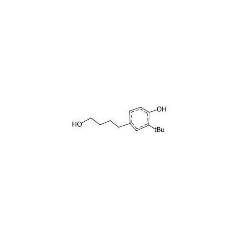 CC(C)(C)c1cc(CCCCO)ccc1O